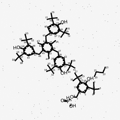 CC(C)(C)c1cc(CO[PH](=O)O)cc(C(C)(C)C)c1O.CCCC.Cc1c(Cc2cc(C(C)(C)C)c(O)c(C(C)(C)C)c2)c(C)c(Cc2cc(C(C)(C)C)c(O)c(C(C)(C)C)c2)c(C)c1Cc1cc(C(C)(C)C)c(O)c(C(C)(C)C)c1